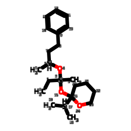 CC[Si](C)(O[SiH](C)CCc1ccccc1)OC1([SiH](C)C)CCCCO1